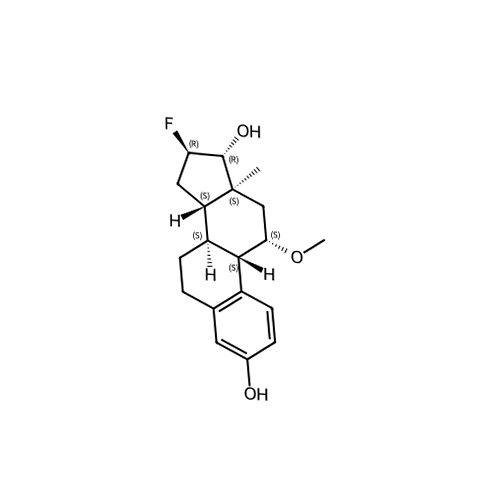 CO[C@H]1C[C@]2(C)[C@@H](O)[C@H](F)C[C@H]2[C@@H]2CCc3cc(O)ccc3[C@H]21